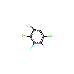 O=[N+]([O-])c1cc(Cl)c(F)c(F)c1Br